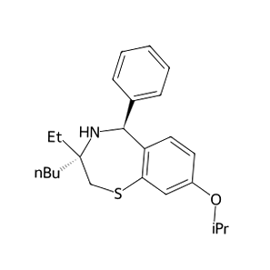 CCCC[C@@]1(CC)CSc2cc(OC(C)C)ccc2[C@H](c2ccccc2)N1